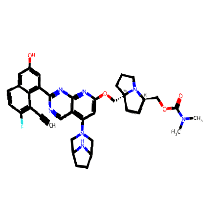 C#Cc1c(F)ccc2cc(O)cc(-c3ncc4c(N5CC6CCC(C5)N6)cc(OC[C@]56CCCN5[C@@H](COC(=O)N(C)C)CC6)nc4n3)c12